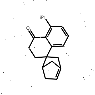 CC(C)c1cccc2c1C(=O)CCC21CC2=CCC1C2